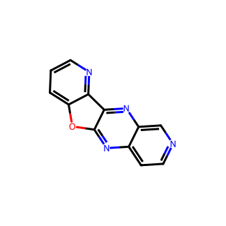 c1cnc2c(c1)oc1nc3ccncc3nc12